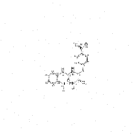 CNC(=O)C(Cc1ccc([N+](=O)[O-])cc1)NC(=O)Nc1ccccc1OC